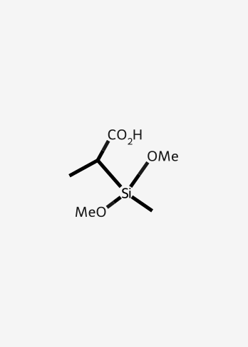 CO[Si](C)(OC)C(C)C(=O)O